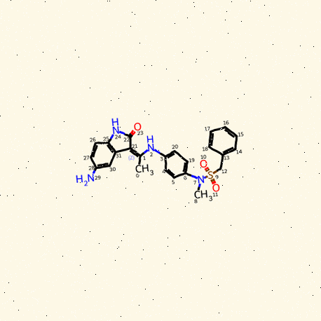 C/C(Nc1ccc(N(C)S(=O)(=O)Cc2ccccc2)cc1)=C1/C(=O)Nc2ccc(N)cc21